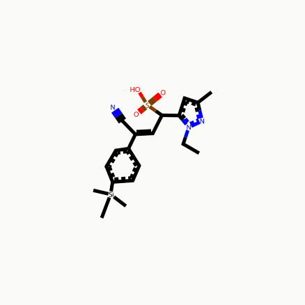 CCn1nc(C)cc1C(C=C(C#N)c1ccc([Si](C)(C)C)cc1)S(=O)(=O)O